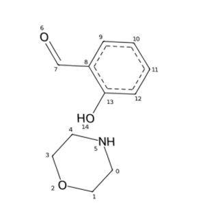 C1COCCN1.O=Cc1ccccc1O